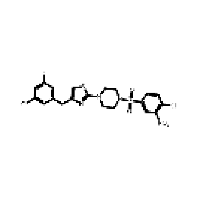 O=[N+]([O-])c1cc(S(=O)(=O)N2CCN(c3nc(Cc4cc(F)cc(Cl)c4)cs3)CC2)ccc1Cl